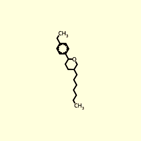 CCCCCCCC1CCC(c2ccc(CC)cc2)OC1